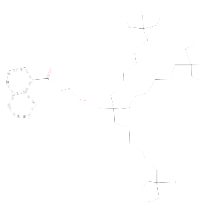 CCC(CO)(CO)COCCOCC(COCCOCC(CC)(CO)CO)(COCCOCC(CC)(CO)CO)COCCOC(=O)c1cccc2ccccc12